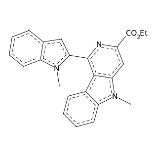 CCOC(=O)c1cc2c(c(-c3cc4ccccc4n3C)n1)c1ccccc1n2C